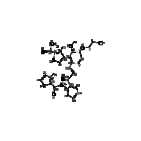 COc1c(OCCCl)ccc(C=Cc2nn(C(=O)c3sccc3C)c3ccccc23)c1-c1csc(C(N)=O)c1C